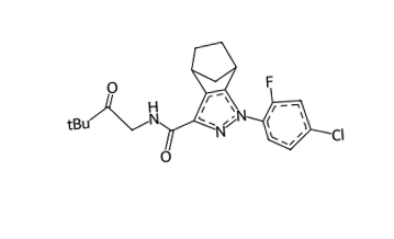 CC(C)(C)C(=O)CNC(=O)c1nn(-c2ccc(Cl)cc2F)c2c1C1CCC2C1